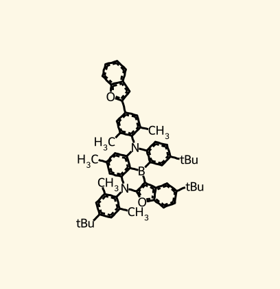 Cc1cc2c3c(c1)N(c1c(C)cc(C(C)(C)C)cc1C)c1oc4ccc(C(C)(C)C)cc4c1B3c1cc(C(C)(C)C)ccc1N2c1c(C)cc(-c2cc3ccccc3o2)cc1C